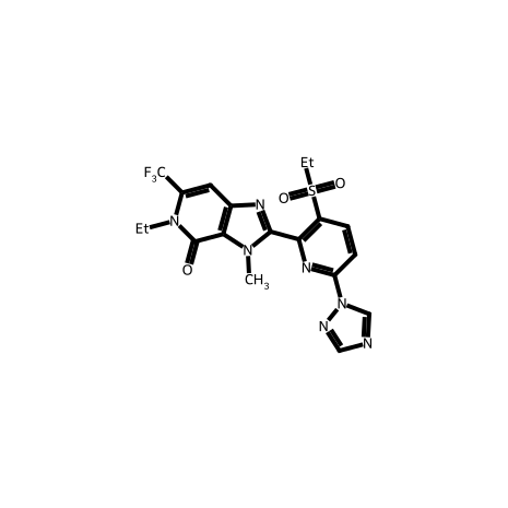 CCn1c(C(F)(F)F)cc2nc(-c3nc(-n4cncn4)ccc3S(=O)(=O)CC)n(C)c2c1=O